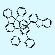 c1ccc(-c2ccccc2-c2cc(-c3cccc4c3sc3ccccc34)nc(-c3cccc4c3C(c3ccccc3)(c3ccccc3)c3ccccc3-4)n2)cc1